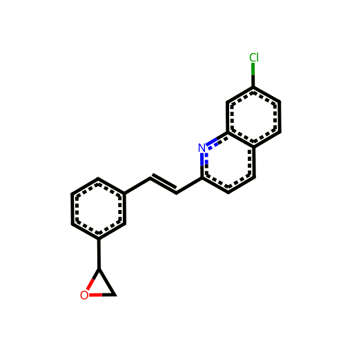 Clc1ccc2ccc(C=Cc3cccc(C4CO4)c3)nc2c1